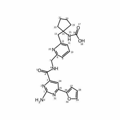 Nc1nc(C(=O)NCc2cccc(CC3(NC(=O)O)CCCC3)n2)cc(-c2ccco2)n1